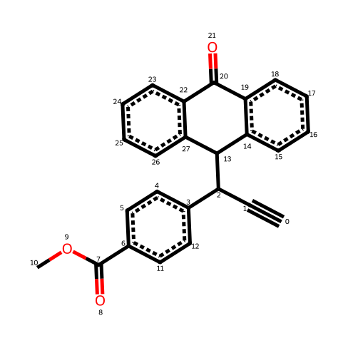 C#CC(c1ccc(C(=O)OC)cc1)C1c2ccccc2C(=O)c2ccccc21